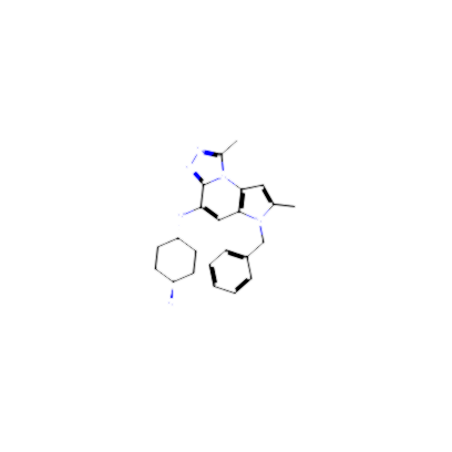 Cc1cc2c(cc(N[C@H]3CC[C@H](N)CC3)c3nnc(C)n32)n1Cc1ccccc1